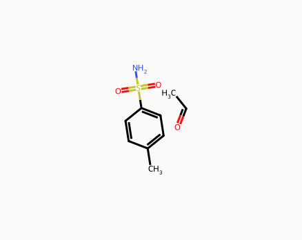 CC=O.Cc1ccc(S(N)(=O)=O)cc1